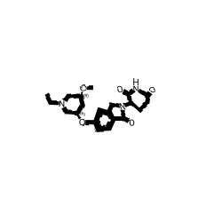 CCN1C[C@H](OC)C[C@@H](Oc2ccc3c(c2)CN(C2CCC(=O)NC2=O)C3=O)C1